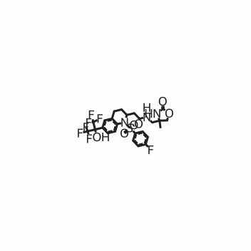 CC1(CNC(=O)CC2CCc3cc(C(O)(C(F)(F)F)C(F)(F)F)ccc3N2S(=O)(=O)c2ccc(F)cc2)COC(=O)N1